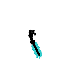 CC[C@H]1CC[C@H](CCc2ccc(C(F)(F)C(F)(F)C(F)(F)C(F)(F)C(F)(F)C(F)(F)C(F)(F)C(F)(F)C(F)(F)F)cc2)CC1